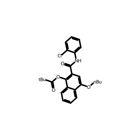 CCCCOc1cc(C(=O)Nc2ccccc2Cl)c(OC(=O)C(C)(C)C)c2ccccc12